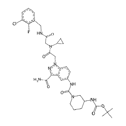 CC(C)(C)OC(=O)NC1CCCN(C(=O)Nc2ccc3c(c2)c(C(N)=O)nn3CC(=O)N(CC(=O)NCc2cccc(Cl)c2F)C2CC2)C1